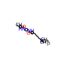 CCc1ccc(C(=O)N[C@H]2CC[C@H](NC(=O)c3ccc(CCCCCCCC[N+](C)(C)C)cc3)CC2)cc1